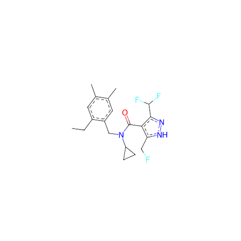 CCc1cc(C)c(C)cc1CN(C(=O)c1c(C(F)F)n[nH]c1CF)C1CC1